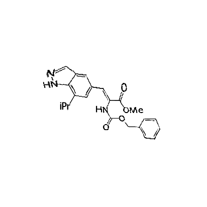 COC(=O)C(=Cc1cc(C(C)C)c2[nH]ncc2c1)NC(=O)OCc1ccccc1